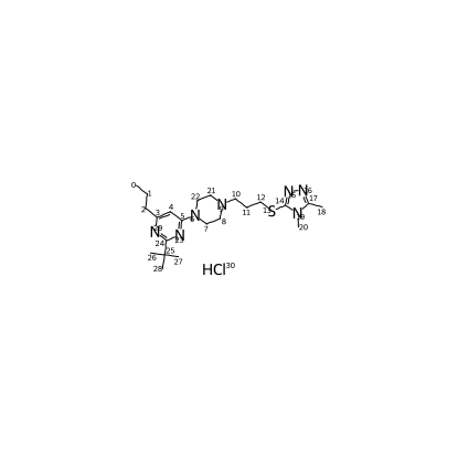 CCCc1cc(N2CCN(CCCSc3nnc(C)n3C)CC2)nc(C(C)(C)C)n1.Cl